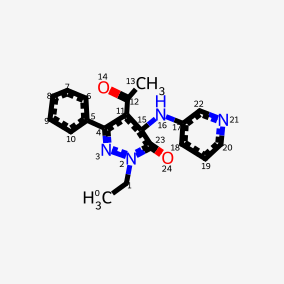 CCn1nc(-c2ccccc2)c(C(C)=O)c(Nc2cccnc2)c1=O